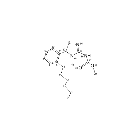 CCCCCCc1ccccc1C1CN=C(NC(=O)OC)N1C